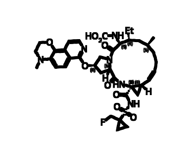 CC[C@@H]1C[C@@H](C)CCC=C[C@@H]2C[C@@]2(C(=O)NS(=O)(=O)C2(CF)CC2)NC(=O)[C@@H]2C[C@@H](Oc3nccc4c5c(ccc34)N(C)CCO5)CN2C(=O)[C@H]1NC(=O)O